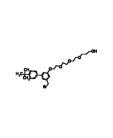 CC(C)(C)c1ccc(-c2cc(CBr)cc(OCCOCCOCCOCCCO)c2)cc1